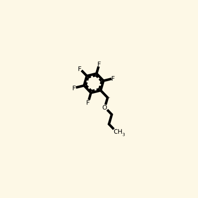 CCCO[CH]c1c(F)c(F)c(F)c(F)c1F